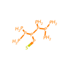 PP(P)P(P)P(P=S)P(P)P